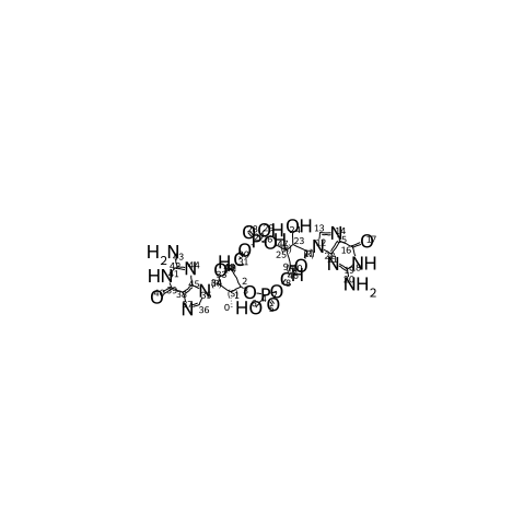 C[C@H]1C2OP(=O)(O)OC[C@H]3O[C@@H](n4cnc5c(=O)[nH]c(N)nc54)C(O)[C@H]3OP(=O)(O)OC[C@H]2O[C@H]1n1cnc2c(=O)[nH]c(N)nc21